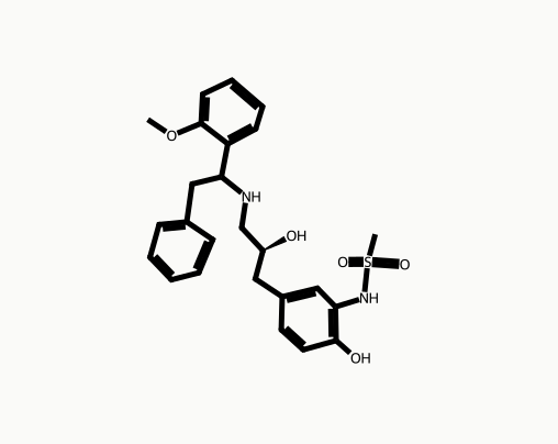 COc1ccccc1C(Cc1ccccc1)NC[C@@H](O)Cc1ccc(O)c(NS(C)(=O)=O)c1